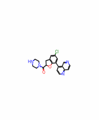 O=C(C1Cc2cc(Cl)cc(-c3ccnc4ccncc34)c2O1)N1CCNCC1